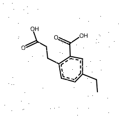 CCc1ccc(CCC(=O)O)c(C(=O)O)c1